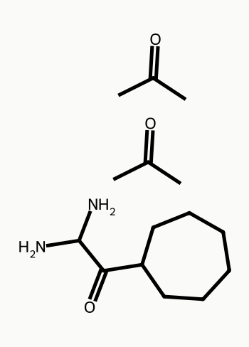 CC(C)=O.CC(C)=O.NC(N)C(=O)C1CCCCCC1